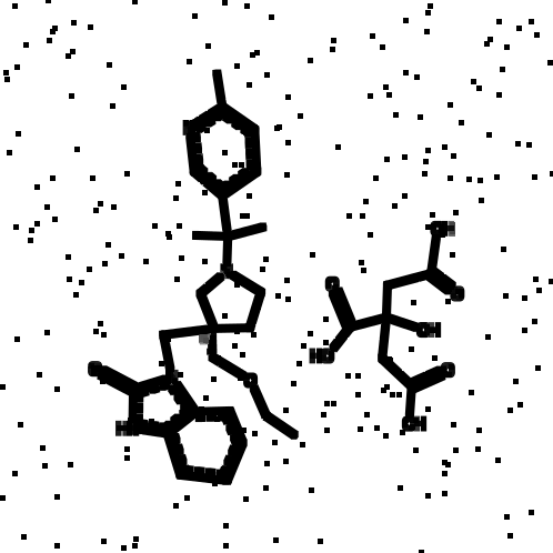 CCOC[C@@]1(Cn2c(=O)[nH]c3ccccc32)CCN(C(C)(C)c2ccc(C)nc2)C1.O=C(O)CC(O)(CC(=O)O)C(=O)O